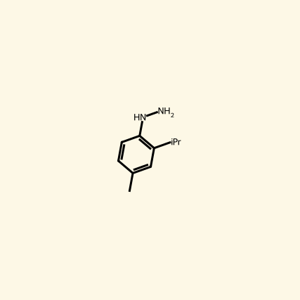 Cc1ccc(NN)c(C(C)C)c1